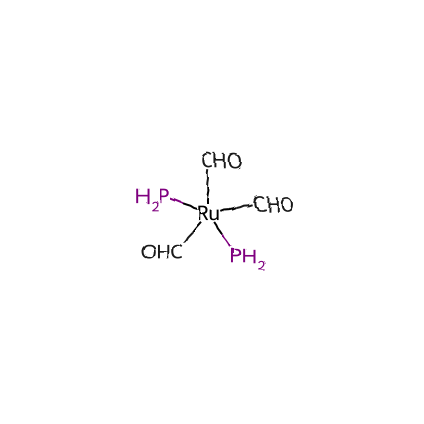 O=[CH][Ru]([PH2])([PH2])([CH]=O)[CH]=O